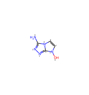 Nc1nnc2n(O)ccn12